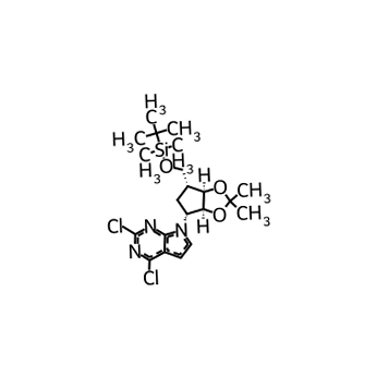 CC1(C)O[C@@H]2[C@@H](CO[Si](C)(C)C(C)(C)C)C[C@@H](n3ccc4c(Cl)nc(Cl)nc43)[C@@H]2O1